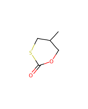 CC1COC(=O)SC1